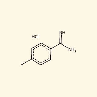 Cl.N=C(N)c1ccc(F)cc1